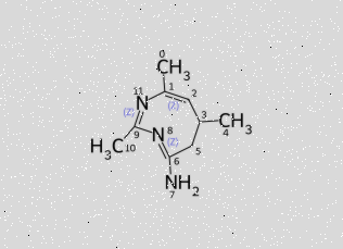 CC1=C/C(C)C/C(N)=N/C(C)=N\1